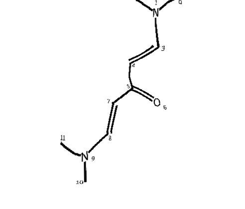 CN(C)C=CC(=O)C=CN(C)C